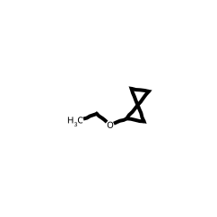 C[CH]OC1CC12CC2